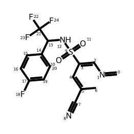 C=N/C=C(\C=C(/C)C#N)S(=O)(=O)NC(c1ccc(F)cc1)C(F)(F)F